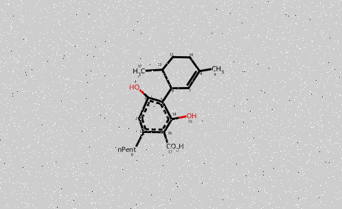 CCCCCc1cc(O)c(C2C=C(C)CCC2C)c(O)c1C(=O)O